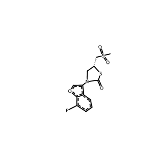 CS(=O)(=O)C[C@H]1CN(c2coc3c(F)cccc23)C(=O)S1